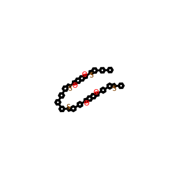 c1ccc(-c2ccc(-c3ccc4cc(-c5cc6cc7cc8oc(-c9cc%10ccc(-c%11ccc(-c%12cccc(-c%13cccc(-c%14cc%15ccc(-c%16ccc(-c%17cc%18cc%19cc%20oc(-c%21ccc(-c%22ccc%23cc(-c%24ccccc%24)sc%23c%22)cc%21)cc%20cc%19cc%18o%17)cc%16)cc%15s%14)c%13)c%12)cc%11)cc%10s9)cc8cc7cc6o5)sc4c3)cc2)cc1